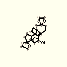 C[C@]12C[C@H](O)C3=C4CCC5(C[C@]46CCC36C1CCC21OCCO1)OCCO5